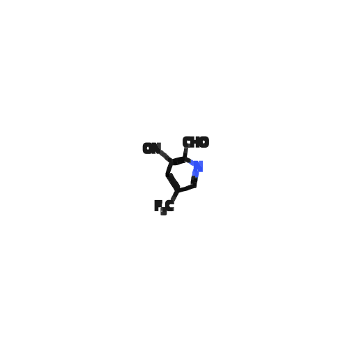 O=Cc1ncc(C(F)(F)F)cc1N=O